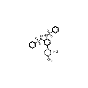 CCN(c1cc(N2CCN(C)CC2)ccc1NS(=O)(=O)c1ccccc1)S(=O)(=O)c1ccccc1.Cl